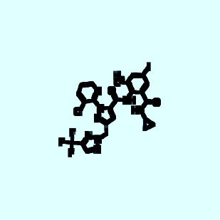 Cc1cc(I)cc(C(=O)NC2CC2)c1NC(=O)c1cc(Cn2ncc(C(F)(F)F)n2)nn1-c1ncccc1Cl